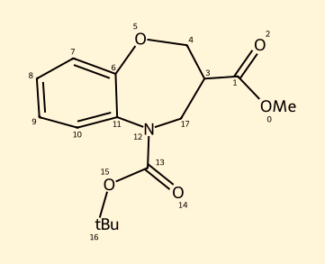 COC(=O)C1COc2ccccc2N(C(=O)OC(C)(C)C)C1